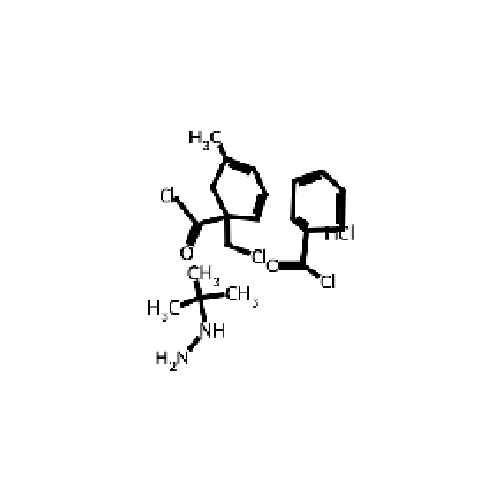 CC(C)(C)NN.CC1=CC=CC(CCl)(C(=O)Cl)C1.Cl.O=C(Cl)c1ccccc1